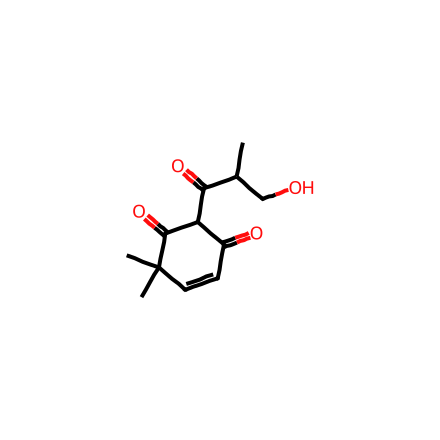 CC(CO)C(=O)C1C(=O)C=CC(C)(C)C1=O